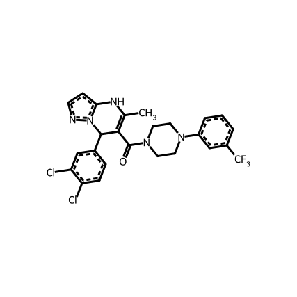 CC1=C(C(=O)N2CCN(c3cccc(C(F)(F)F)c3)CC2)C(c2ccc(Cl)c(Cl)c2)n2nccc2N1